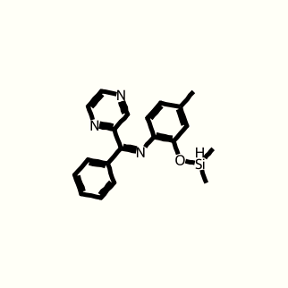 Cc1ccc(N=C(c2ccccc2)c2cnccn2)c(O[SiH](C)C)c1